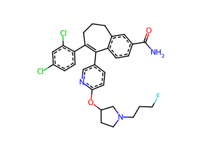 NC(=O)c1ccc2c(c1)CCCC(c1ccc(Cl)cc1Cl)=C2c1ccc(OC2CCN(CCCF)C2)nc1